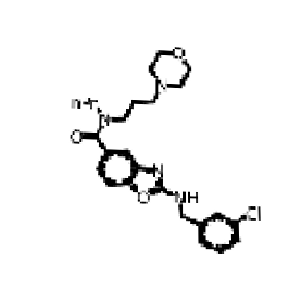 CCCN(CCCN1CCOCC1)C(=O)c1ccc2oc(NCc3cccc(Cl)c3)nc2c1